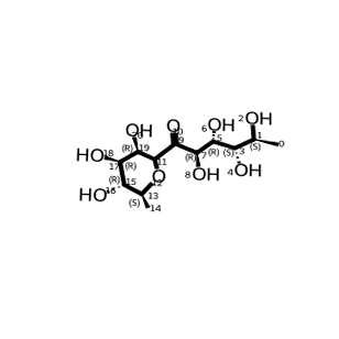 C[C@H](O)[C@H](O)[C@@H](O)[C@@H](O)C(=O)C1O[C@@H](C)[C@H](O)[C@@H](O)[C@H]1O